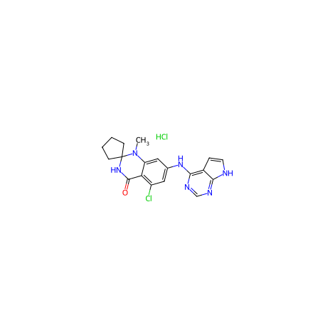 CN1c2cc(Nc3ncnc4[nH]ccc34)cc(Cl)c2C(=O)NC12CCCC2.Cl